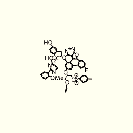 C=CCOC[C@H](COS(=O)(=O)c1ccc(C)cc1)Oc1cc(C)c(-c2c(-c3ccc(F)cc3)oc3ncnc(O[C@H](Cc4cc(O)ccc4OCc4ccnc(-c5ccccc5OC)n4)C(=O)O)c23)c(C)c1